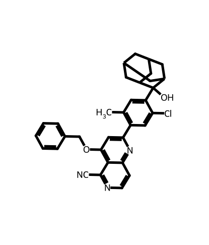 Cc1cc(C2(O)C3CC4CC(C3)CC2C4)c(Cl)cc1-c1cc(OCc2ccccc2)c2c(C#N)nccc2n1